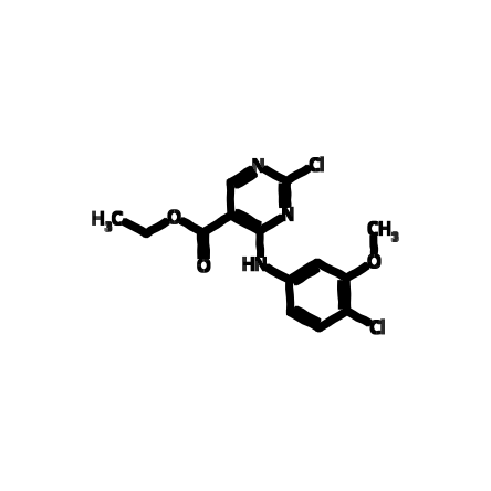 CCOC(=O)c1cnc(Cl)nc1Nc1ccc(Cl)c(OC)c1